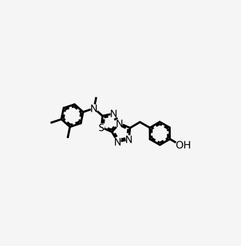 Cc1ccc(N(C)c2nn3c(Cc4ccc(O)cc4)nnc3s2)cc1C